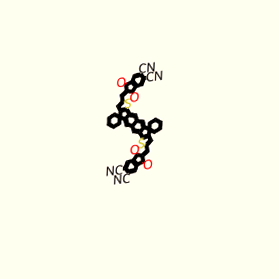 N#Cc1cc2c(cc1C#N)C(=O)C(=Cc1cc3c(s1)C1=CC4C=C5C(=CC4C=C1C31CCCCC1)c1sc(C=C3C(=O)c4cc(C#N)c(C#N)cc4C3=O)cc1C51CCCCC1)C2=O